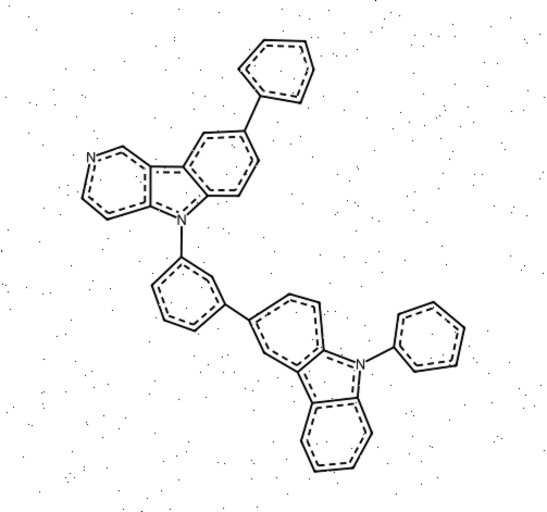 c1ccc(-c2ccc3c(c2)c2cnccc2n3-c2cccc(-c3ccc4c(c3)c3ccccc3n4-c3ccccc3)c2)cc1